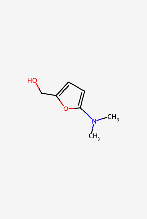 CN(C)c1ccc(CO)o1